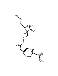 CC1(COOC(=O)Cc2ccc([N+](=O)[O-])cc2)C(=O)NC1CCO